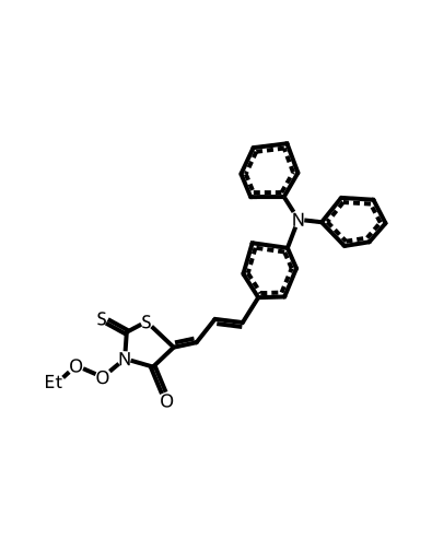 CCOON1C(=O)/C(=C/C=C/c2ccc(N(c3ccccc3)c3ccccc3)cc2)SC1=S